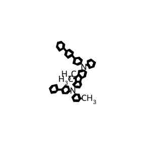 Cc1cccc(N(c2ccc(-c3ccccc3)cc2)c2ccc3c(c2)C(C)(C)c2cc(N(c4ccccc4)c4ccc(-c5ccc(-c6ccccc6)cc5)cc4)ccc2-3)c1